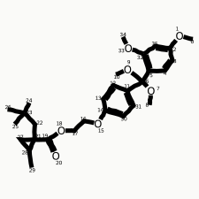 COc1ccc(C(OC)(OC)c2ccc(OCCOC(=O)C3(CC(C)(C)C)CC3C)cc2)c(OC)c1